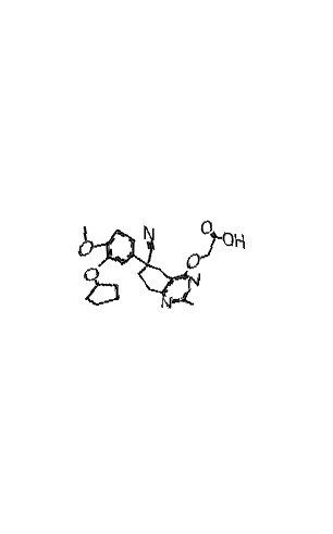 COc1ccc(C2(C#N)CCc3nc(C)nc(OCC(=O)O)c3C2)cc1OC1CCCC1